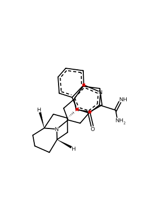 N=C(N)c1nc2ccccc2n([C@H]2C[C@H]3CCC[C@@H](C2)N3C2CC3CCCC(C3)C2)c1=O